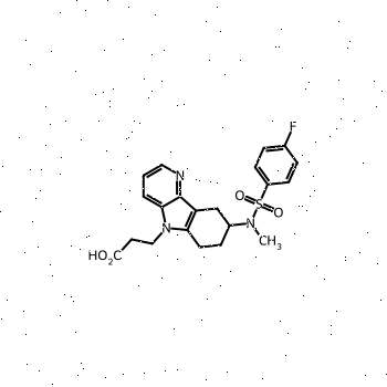 CN(C1CCc2c(c3ncccc3n2CCC(=O)O)C1)S(=O)(=O)c1ccc(F)cc1